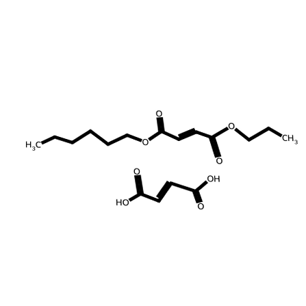 CCCCCCOC(=O)C=CC(=O)OCCC.O=C(O)C=CC(=O)O